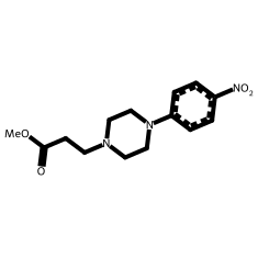 COC(=O)CCN1CCN(c2ccc([N+](=O)[O-])cc2)CC1